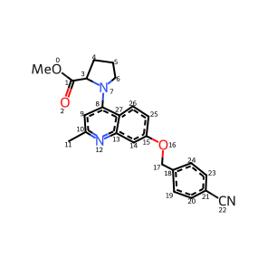 COC(=O)C1CCCN1c1cc(C)nc2cc(OCc3ccc(C#N)cc3)ccc12